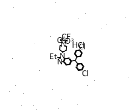 CCc1nc2ccc(C(c3ccc(Cl)cc3)c3ccc(Cl)cc3)cc2n1C1CCN(S(=O)(=O)C(F)(F)F)CC1.Cl